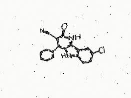 N#Cc1c(-c2ccccc2)c2[nH]c3ccc(Cl)cc3c2[nH]c1=O